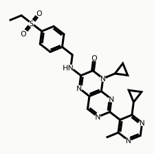 CCS(=O)(=O)c1ccc(CNc2nc3cnc(-c4c(C)ncnc4C4CC4)nc3n(C3CC3)c2=O)cc1